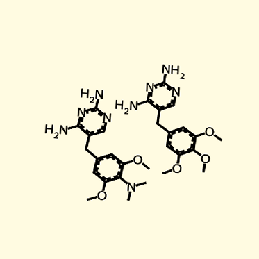 COc1cc(Cc2cnc(N)nc2N)cc(OC)c1N(C)C.COc1cc(Cc2cnc(N)nc2N)cc(OC)c1OC